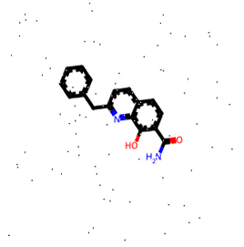 NC(=O)c1ccc2ccc(Cc3ccccc3)nc2c1O